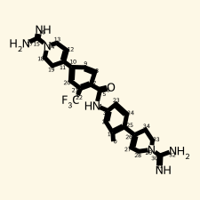 Cc1cc(NC(=O)c2ccc(C3=CCN(C(=N)N)CC3)cc2C(F)(F)F)ccc1C1=CCN(C(=N)N)CC1